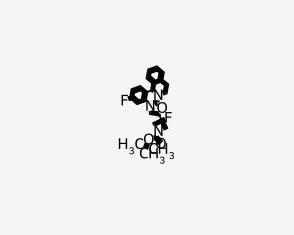 CC(C)(C)OC(=O)N1CC(F)([C@H]2CN=C(N3CCc4ccccc4[C@@H]3c3ccc(F)cc3)O2)C1